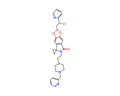 O=C1c2cc3c(cc2C2(CC2)N1CCC1CCN(Cc2ccccn2)CC1)OC(CC(Cl)c1ccccn1)O3